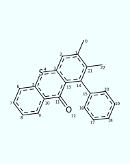 Cc1cc2sc3ccccc3c(=O)c2c(-c2ccccc2)c1C